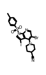 Cc1ccc(S(=O)(=O)n2cc(I)c3c(N4CCC(C#N)CC4)c(Br)cnc32)cc1